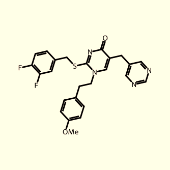 COc1ccc(CCn2cc(Cc3cncnc3)c(=O)nc2SCc2ccc(F)c(F)c2)cc1